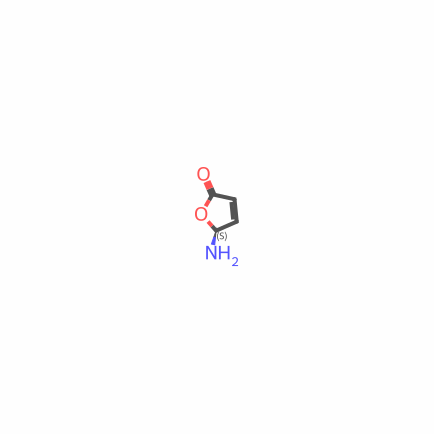 N[C@@H]1C=CC(=O)O1